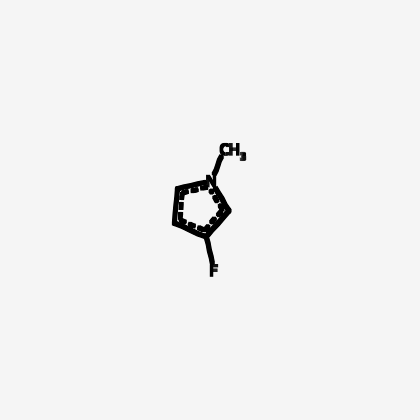 Cn1ccc(F)c1